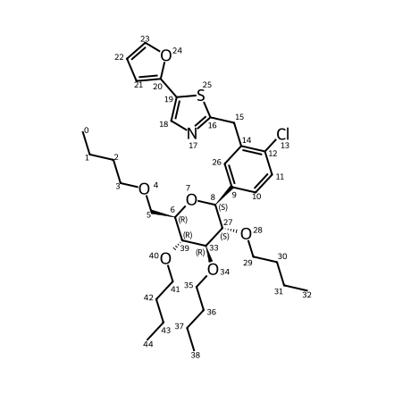 CCCCOC[C@H]1O[C@@H](c2ccc(Cl)c(Cc3ncc(-c4ccco4)s3)c2)[C@H](OCCCC)[C@@H](OCCCC)[C@@H]1OCCCC